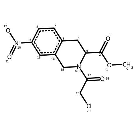 COC(=O)C1Cc2ccc([N+](=O)[O-])cc2CN1C(=O)CCl